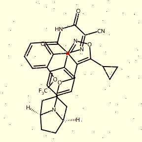 N#Cc1nn(-c2ccc(N3[C@@H]4CC[C@H]3CC(OCc3c(-c5ccccc5OC(F)(F)F)noc3C3CC3)C4)cc2)c(=O)[nH]c1=O